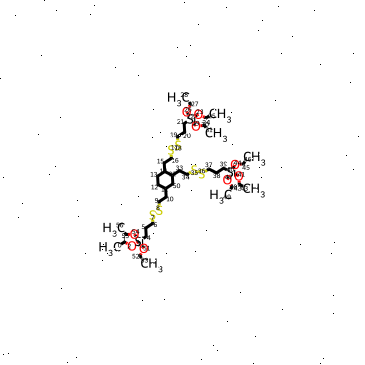 CCO[Si](CCCSSCCC1CCC(CCSSCCC[Si](OCC)(OCC)OCC)C(CCSSCCC[Si](OCC)(OCC)OCC)C1)(OCC)OCC